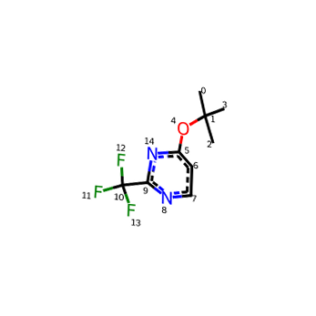 CC(C)(C)Oc1ccnc(C(F)(F)F)n1